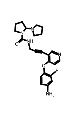 Nc1ccc(Oc2ccncc2C#CCNC(=O)N2CCCC2N2CCCC2)c(F)c1